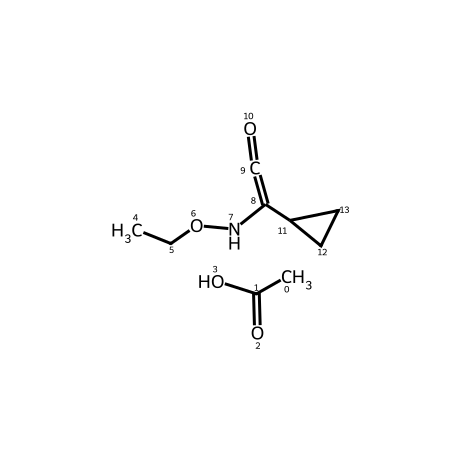 CC(=O)O.CCONC(=C=O)C1CC1